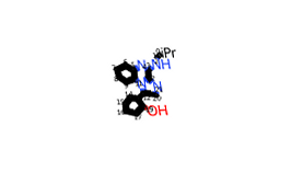 CC(C)CNc1nc2ccccc2n2c(-c3ccccc3O)cnc12